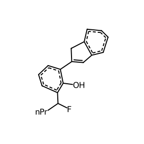 CCCC(F)c1cccc(C2=Cc3ccccc3C2)c1O